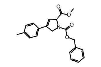 COC(=O)[C@@H]1C=C(c2ccc(C)cc2)CN1C(=O)OCc1ccccc1